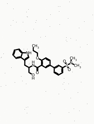 CCCOc1ccc(-c2cccc(S(=O)(=O)N(C)C)c2)cc1C(=O)NC(CO)Cc1c[nH]c2ccccc12